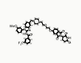 COc1cccc(-n2c(NC(=O)c3cccc(C(F)(F)F)c3)nc3cc(CN4CCN(CCOCCOc5ccc6c(c5)C(=O)N(C5CCC(=O)NC5=O)C6=O)CC4)ccc32)c1